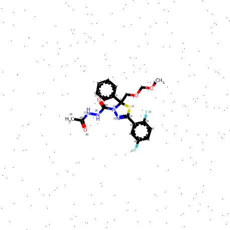 COCOCC1(c2ccccc2)SC(c2cc(F)ccc2F)=NN1C(=O)NNC(C)=O